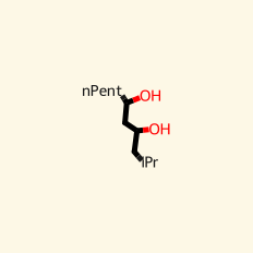 CCCCCC(O)CC(O)CC(C)C